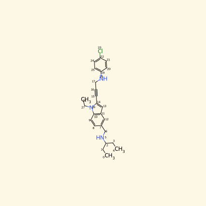 CCC(CC)NCc1ccc2c(c1)cc(C#CCNc1ccc(Cl)cc1)n2CC